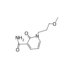 COCCCn1cccc(C(N)=O)c1=O